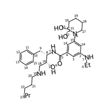 CCNc1cc(C(=O)N[C@@H](Cc2ccccc2)[C@H](O)CNCCCC(C)C)cc(N2CCCCS2(O)O)c1